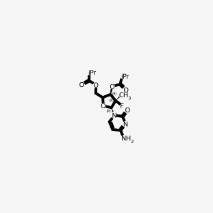 CC(C)C(=O)OCC1O[C@@H](n2ccc(N)nc2=O)[C@](C)(F)[C@@H]1OC(=O)C(C)C